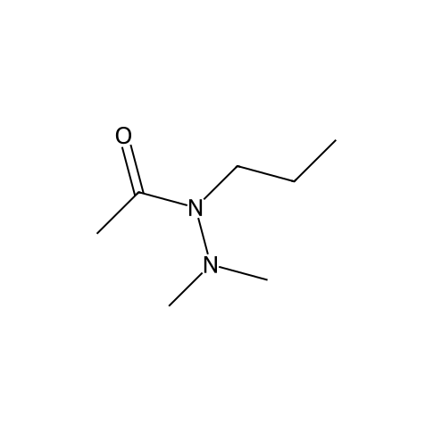 CCCN(C(C)=O)N(C)C